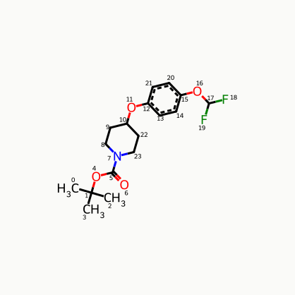 CC(C)(C)OC(=O)N1CCC(Oc2ccc(OC(F)F)cc2)CC1